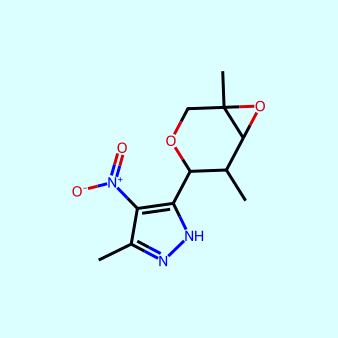 Cc1n[nH]c(C2OCC3(C)OC3C2C)c1[N+](=O)[O-]